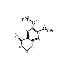 CCCOc1cc2c(cc1OCCC)C(=O)CCC2